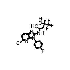 CC(O)(CC(O)Nc1nc2ccc(Cl)nc2n1-c1ccc(F)cc1)C(F)(F)F